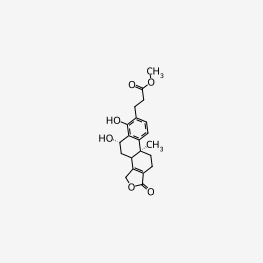 COC(=O)CCc1ccc2c(c1O)[C@@H](O)CC1C3=C(CC[C@]21C)C(=O)OC3